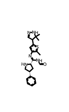 Cc1sc(C2C=NNC2(C)C)cc1/N=C(\NC=O)[C@@H]1C[C@H](c2ccccc2)CN1